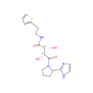 O=C(NCCc1cccs1)[C@H](O)[C@@H](O)C(=O)N1CCCC1c1ncc[nH]1